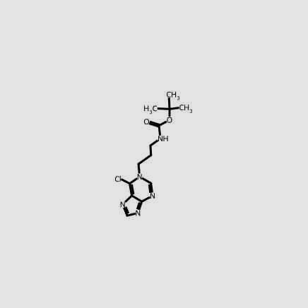 CC(C)(C)OC(=O)NCCCn1cnc2ncnc-2c1Cl